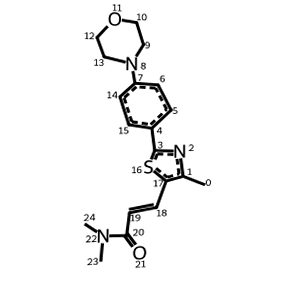 Cc1nc(-c2ccc(N3CCOCC3)cc2)sc1C=CC(=O)N(C)C